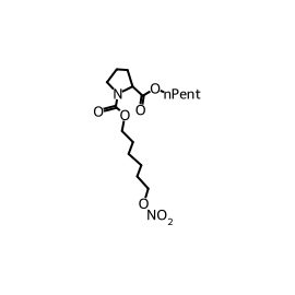 CCCCCOC(=O)C1CCCN1C(=O)OCCCCCCO[N+](=O)[O-]